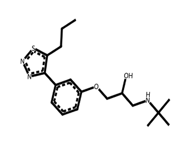 CCCc1snnc1-c1cccc(OCC(O)CNC(C)(C)C)c1